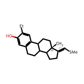 CCc1cc2c(cc1O)CCC1C2CC[C@]2(C)/C(=C/SC)CCC12